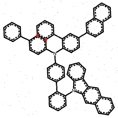 c1ccc(-c2ccc(N(c3ccc(-c4ccccc4-n4c5ccccc5c5cc6ccccc6cc54)cc3)c3ccc(-c4ccc5ccccc5c4)cc3-c3ccccc3)cc2)cc1